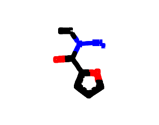 NN(C=O)C(=O)c1ccco1